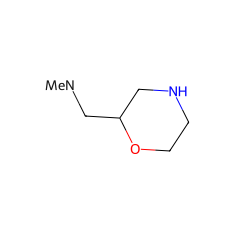 CNCC1CNCCO1